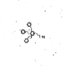 OCCCc1cc(OCc2ccccc2)c(CCc2ccccc2)c(OCc2ccccc2)c1